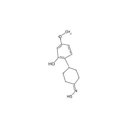 COc1ccc(C2CCC(=NO)CC2)c(O)c1